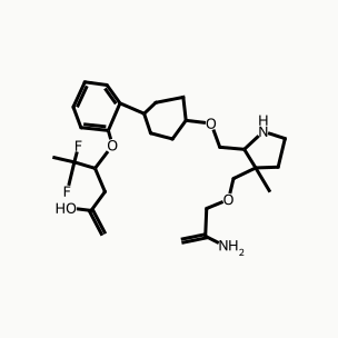 C=C(N)COCC1(C)CCNC1COC1CCC(c2ccccc2OC(CC(=C)O)C(C)(F)F)CC1